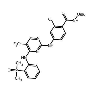 CC(C)CONC(=O)c1ccc(Nc2ncc(C(F)(F)F)c(Nc3ccccc3P(C)(C)=O)n2)cc1Cl